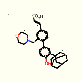 O=C(O)/C=C/c1ccc(-c2ccc(O)c(C34CC5CC(CC(C5)C3)C4)c2)c(CN2CCOCC2)c1